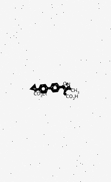 CCOC(=O)C1(c2ccc(-c3ccc(-c4onc(C)c4CC(=O)O)cc3)cc2)CC1